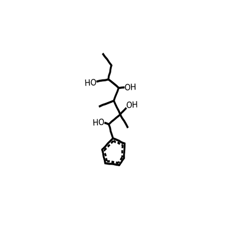 CCC(O)C(O)C(C)C(C)(O)C(O)c1ccccc1